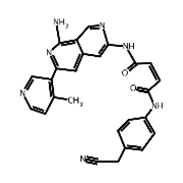 Cc1ccncc1-c1cc2cc(NC(=O)/C=C\C(=O)Nc3ccc(CC#N)cc3)ncc2c(N)n1